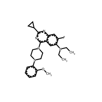 CCN(CC)c1cc2c(N3CCN(c4ccccc4OC)CC3)nc(C3CC3)nc2cc1F